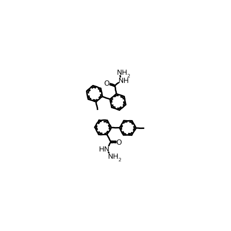 Cc1ccc(-c2ccccc2C(=O)NN)cc1.Cc1ccccc1-c1ccccc1C(=O)NN